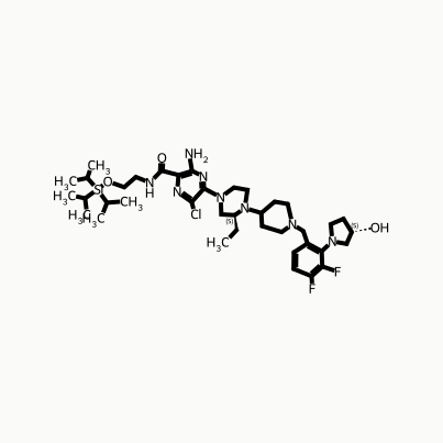 CC[C@H]1CN(c2nc(N)c(C(=O)NCCO[Si](C(C)C)(C(C)C)C(C)C)nc2Cl)CCN1C1CCN(Cc2ccc(F)c(F)c2N2CC[C@H](O)C2)CC1